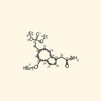 CCCCOc1cc(CP(=O)(OCC)OCC)ccc2c(CC(N)=O)ccc1-2